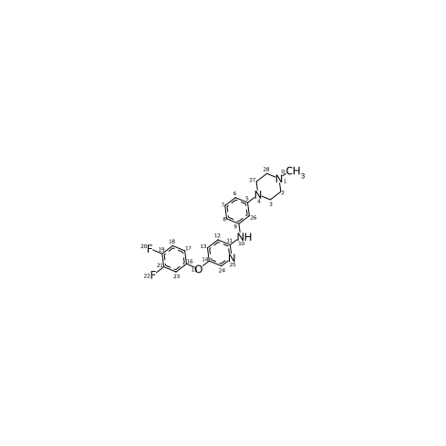 CN1CCN(c2cccc(Nc3ccc(Oc4ccc(F)c(F)c4)cn3)c2)CC1